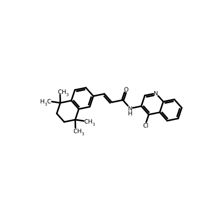 CC1(C)CCC(C)(C)c2cc(C=CC(=O)Nc3cnc4ccccc4c3Cl)ccc21